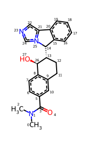 CN(C)C(=O)c1ccc2c(c1)CC[C@@H](C1c3ccccc3-c3cncn31)[C@@H]2O